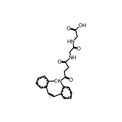 O=C(O)CNC(=O)CNC(=O)CCC(=O)N1Cc2ccccc2/C=C\c2ccccc21